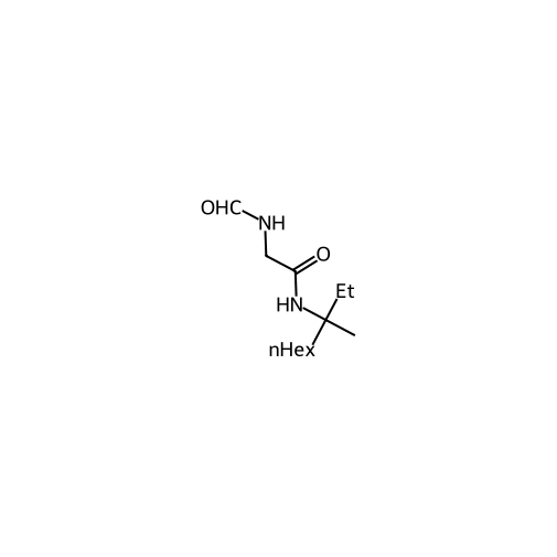 CCCCCCC(C)(CC)NC(=O)CNC=O